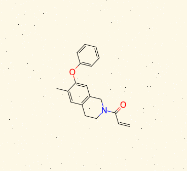 C=CC(=O)N1CCc2cc(C)c(Oc3ccccc3)cc2C1